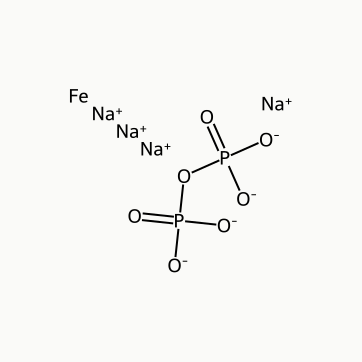 O=P([O-])([O-])OP(=O)([O-])[O-].[Fe].[Na+].[Na+].[Na+].[Na+]